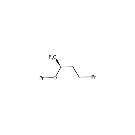 CC(C)CC[C@@H](OC(C)C)C(F)(F)F